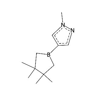 Cn1cc(B2CC(C)(C)C(C)(C)C2)cn1